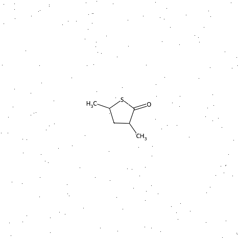 CC1CC(C)C(=O)S1